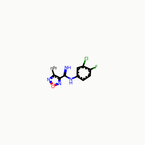 CCCc1nonc1C(=N)Nc1ccc(F)c(Cl)c1